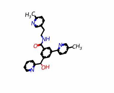 Cc1ccc(-c2cc(C(=O)NCCc3ccc(C)nc3)cc([C@@H](O)c3ccccn3)c2)nc1